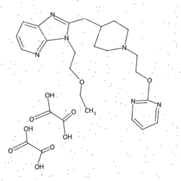 CCOCCn1c(CC2CCN(CCOc3ncccn3)CC2)nc2cccnc21.O=C(O)C(=O)O.O=C(O)C(=O)O